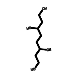 OCCC(O)CCC(O)CCO